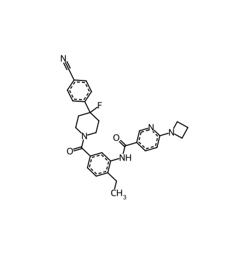 CCc1ccc(C(=O)N2CCC(F)(c3ccc(C#N)cc3)CC2)cc1NC(=O)c1ccc(N2CCC2)nc1